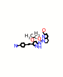 CC(C)Oc1cc(NC(=O)N2CCCc3ccc(C=O)nc32)ncc1C#Cc1ccc(C#N)cc1